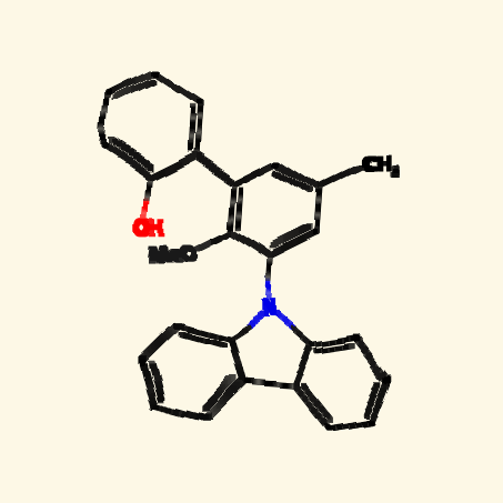 COc1c(-c2ccccc2O)cc(C)cc1-n1c2ccccc2c2ccccc21